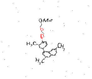 COCCOCCOc1ccc(-c2cc(C)cc3ccc(C)cc23)cc1C